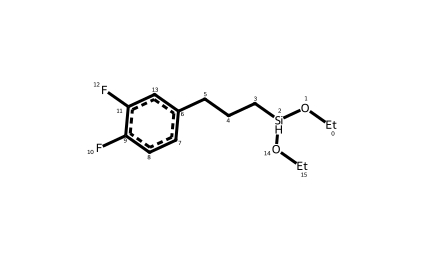 CCO[SiH](CCCc1ccc(F)c(F)c1)OCC